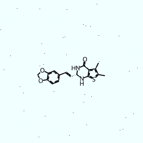 Cc1sc2c(c1C)C(=O)N[C@@H](/C=C/c1ccc3c(c1)OCO3)N2